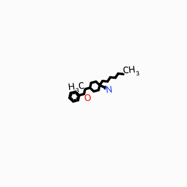 CCCCCCCC1(C#N)CCC(C(C)C(=O)c2ccccc2)CC1